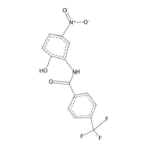 O=C(Nc1cc([N+](=O)[O-])ccc1O)c1ccc(C(F)(F)F)cc1